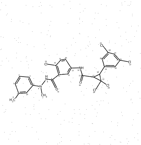 Cc1cccc(N(C)NC(=O)c2cc(NC(=O)C3C(c4cc(Cl)cc(Cl)c4)C3(Cl)Cl)ccc2Cl)c1